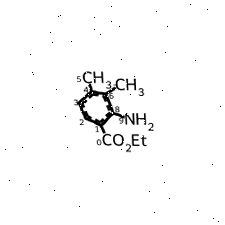 CCOC(=O)c1ccc(C)c(C)c1N